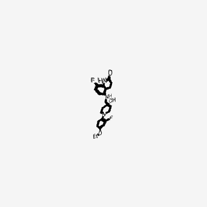 CCOc1ccc(N2CCC(O)(CNc3ccc(F)c4c3CCC(=O)N4)CC2)c(F)c1